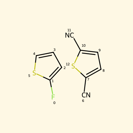 Fc1cccs1.N#Cc1ccc(C#N)s1